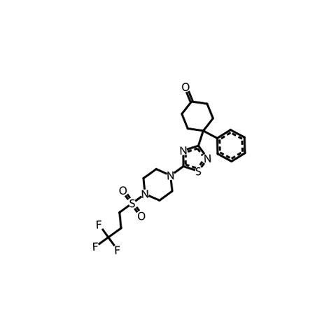 O=C1CCC(c2ccccc2)(c2nsc(N3CCN(S(=O)(=O)CCC(F)(F)F)CC3)n2)CC1